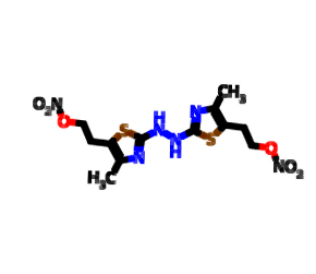 Cc1nc(NNc2nc(C)c(CCO[N+](=O)[O-])s2)sc1CCO[N+](=O)[O-]